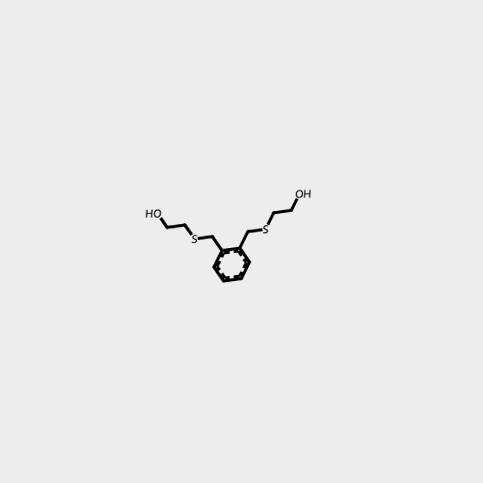 OCCSCc1ccccc1CSCCO